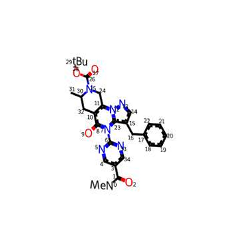 CNC(=O)c1cnc(-n2c(=O)c3c(n4ncc(Cc5ccccc5)c24)CN(C(=O)OC(C)(C)C)C(C)C3)nc1